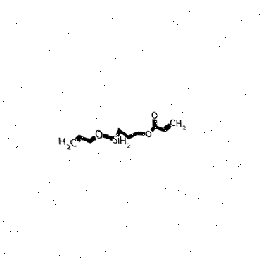 C=CCO[SiH2]CCCOC(=O)C=C